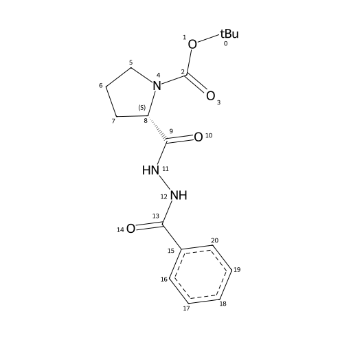 CC(C)(C)OC(=O)N1CCC[C@H]1C(=O)NNC(=O)c1ccccc1